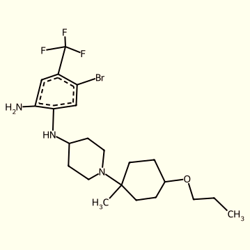 CCCOC1CCC(C)(N2CCC(Nc3cc(Br)c(C(F)(F)F)cc3N)CC2)CC1